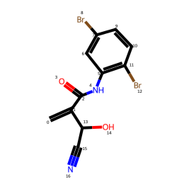 C=C(C(=O)Nc1cc(Br)ccc1Br)C(O)C#N